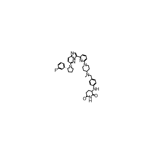 CN(Cc1ccc(NC2CCC(=O)NC2=O)cc1)C1CCN(c2cccc(-c3cnc4ccc(N5CCC[C@@H]5c5cccc(F)c5)nn34)n2)CC1